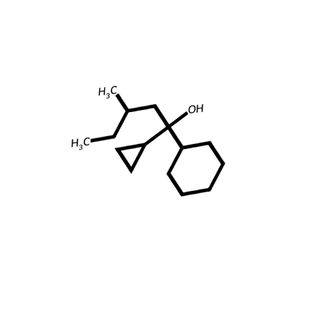 CCC(C)CC(O)(C1CCCCC1)C1CC1